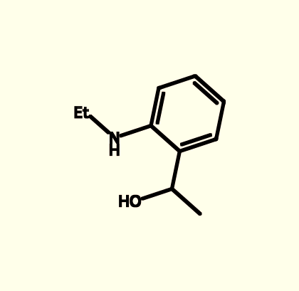 CCNc1ccccc1C(C)O